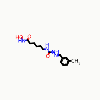 Cc1cccc(/C=N/NC(=O)NCCCCCC(=O)NO)c1